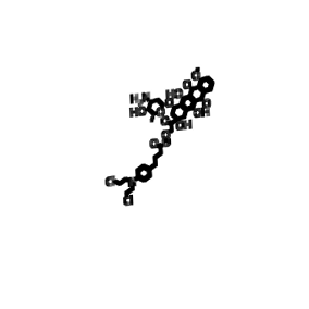 COc1cccc2c1C(=O)c1c(O)c3c(c(O)c1C2=O)C[C@@](O)(C(=O)COOC(=O)CCCc1ccc(N(CCCl)CCCl)cc1)C[C@@H]3O[C@H]1C[C@H](N)[C@H](O)[C@H](C)O1